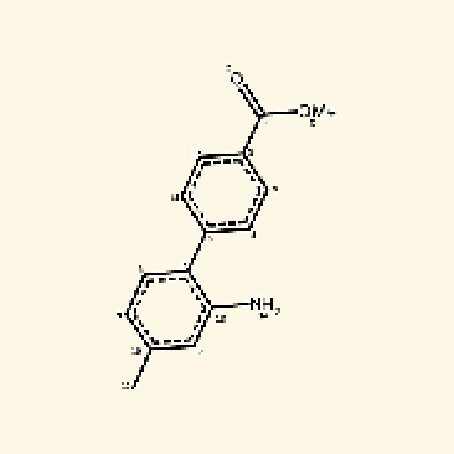 COC(=O)c1ccc(-c2ccc(C)cc2N)cc1